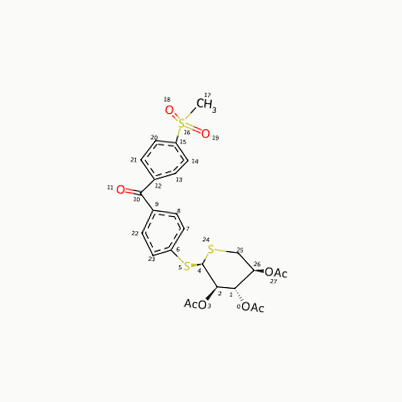 CC(=O)O[C@@H]1[C@@H](OC(C)=O)[C@@H](Sc2ccc(C(=O)c3ccc(S(C)(=O)=O)cc3)cc2)SC[C@H]1OC(C)=O